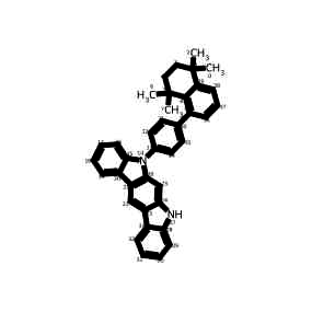 CC1(C)CCC(C)(C)c2c(-c3ccc(-n4c5ccccc5c5cc6c(cc54)[nH]c4ccccc46)cc3)cccc21